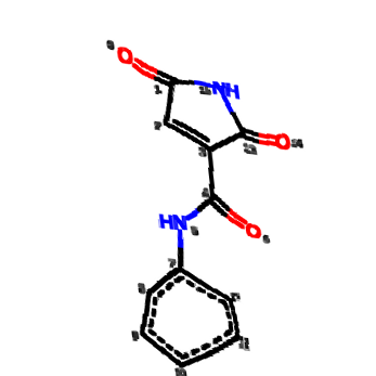 O=C1C=C(C(=O)Nc2ccccc2)C(=O)N1